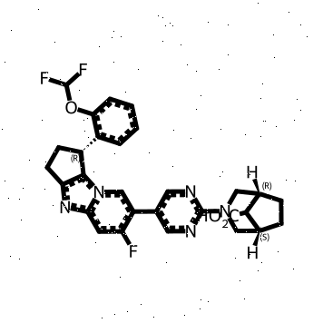 O=C(O)C1[C@@H]2CC[C@H]1CN(c1ncc(-c3cn4c5c(nc4cc3F)CC[C@@H]5c3ccccc3OC(F)F)cn1)C2